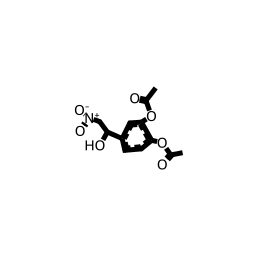 CC(=O)Oc1ccc(C(O)C[N+](=O)[O-])cc1OC(C)=O